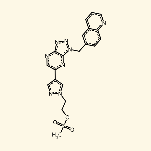 CS(=O)(=O)OCCn1cc(-c2cnc3nnn(Cc4ccc5ncccc5c4)c3n2)cn1